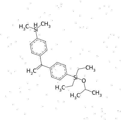 C=C(c1ccc([SiH](C)C)cc1)c1ccc([Si](CC)(CC)OC(C)C)cc1